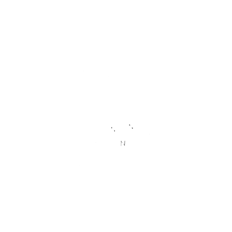 c1ccc(-c2ccc(-c3nc(-c4ccccc4)nc(-c4cccc(-c5cccc6c5-c5ccccc5C6(c5ccccc5)c5ccccc5)c4)n3)cc2)cc1